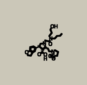 CCCCN(CCCO)C(=O)CN1C[C@H](c2ccc3c(c2)CCO3)[C@@H](C(=O)O)[C@@H]1CCN1CCCS1(=O)=O